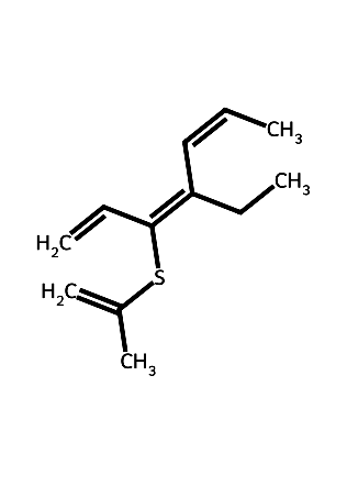 C=C/C(SC(=C)C)=C(\C=C/C)CC